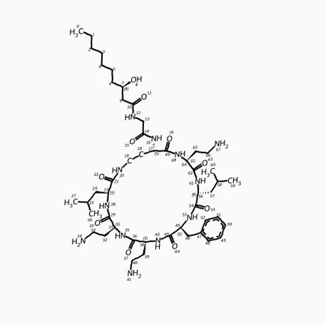 CCCCCCC[C@@H](O)CC(=O)NCC(=O)N[C@H]1CCNC(=O)[C@H](CC(C)C)NC(=O)[C@H](CCN)NC(=O)[C@H](CCN)NC(=O)[C@H](Cc2ccccc2)NC(=O)[C@@H](CC(C)C)NC(=O)[C@H](CCN)NC1=O